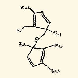 CCC(C)C1=C(C(C)CC)[C]([Sr][C]2(C(C)CC)C=CC(C(C)CC)=C2C(C)CC)(C(C)CC)C=C1